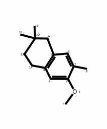 COc1cc2c(cc1C)CC(C)(C)CC2